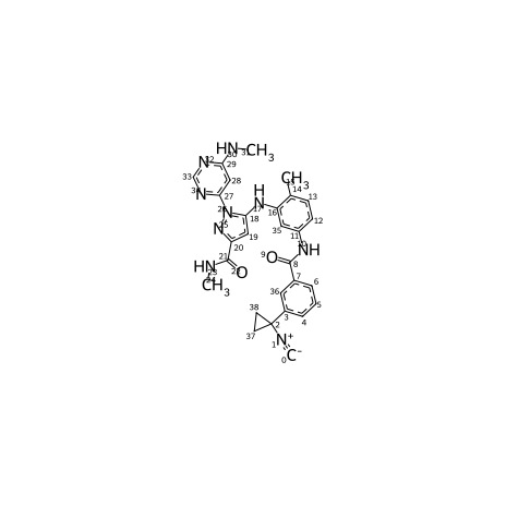 [C-]#[N+]C1(c2cccc(C(=O)Nc3ccc(C)c(Nc4cc(C(=O)NC)nn4-c4cc(NC)ncn4)c3)c2)CC1